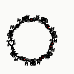 O=S1(=O)C[C@H]2CC[C@H](CC2)CS(=O)(=O)C[C@H]2CC[C@H](CC2)CS(=O)(=O)[C@@H]2CC[C@@H](CC2)CS(=O)(=O)[C@@H]2CC[C@@H](CC2)CS(=O)(=O)C[C@H]2CC[C@H](CC2)CS(=O)(=O)[C@@H]2CC[C@@H](CC2)CS(=O)(=O)C[C@@H]2CC[C@@H](CC2)C1